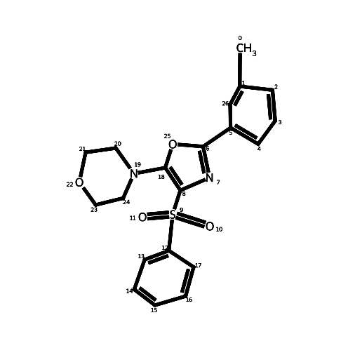 Cc1cccc(-c2nc(S(=O)(=O)c3ccccc3)c(N3CCOCC3)o2)c1